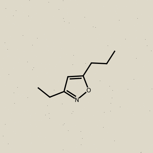 CCCc1cc(CC)no1